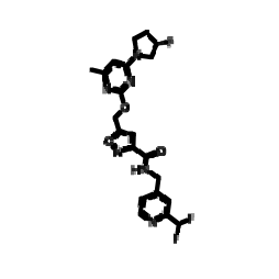 Cc1cc(N2CC[C@@H](F)C2)nc(OCc2cc(C(=O)NCc3ccnc(C(F)F)c3)no2)n1